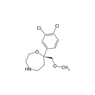 COC[C@@]1(c2ccc(Cl)c(Cl)c2)CCNCCO1